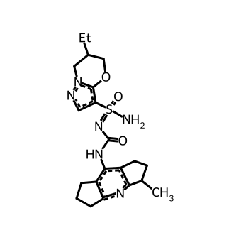 CCC1COc2c(S(N)(=O)=NC(=O)Nc3c4c(nc5c3CCC5C)CCC4)cnn2C1